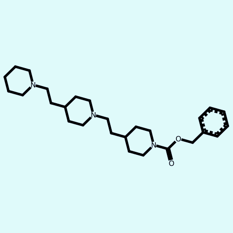 O=C(OCc1ccccc1)N1CCC(CCN2CCC(CCN3CCCCC3)CC2)CC1